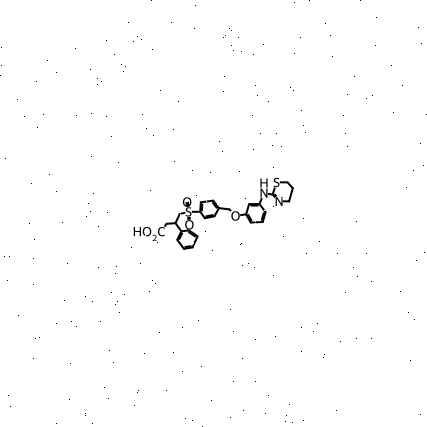 O=C(O)CC(CS(=O)(=O)c1ccc(COc2cccc(NC3=NCCCS3)c2)cc1)c1ccccc1